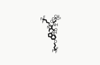 CS(=O)(=O)CC(=O)Nc1c2c(nn1CCCC(F)(F)F)C[C@]1(CCc3cc(OCCCC(F)(F)F)ccc31)NC2=O